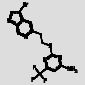 Nc1cc(C(F)(F)F)nc(SCCc2cc3c(Br)csc3cn2)n1